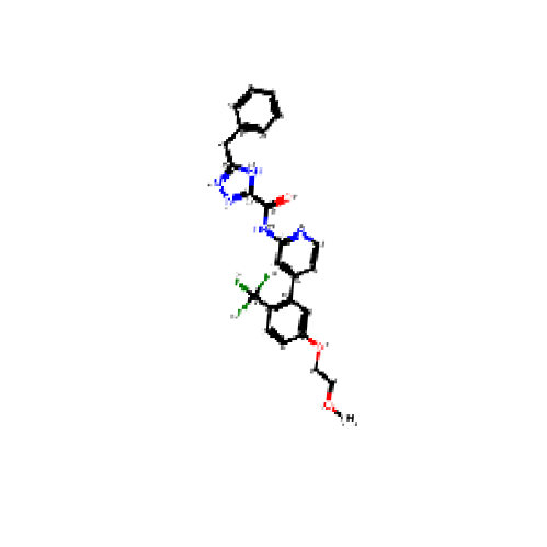 COCCOc1ccc(C(F)(F)F)c(-c2ccnc(NC(=O)c3nnc(Cc4ccccc4)[nH]3)c2)c1